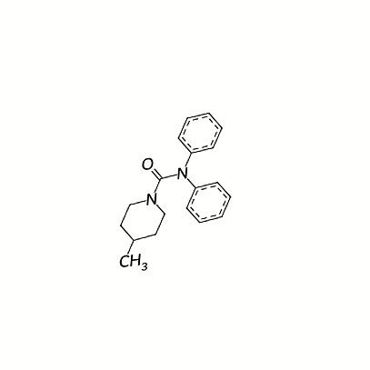 CC1CCN(C(=O)N(c2ccccc2)c2ccccc2)CC1